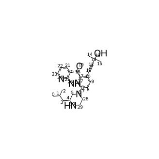 CC(C)C[C@H]1CN(c2ccc(C#CC(C)(C)O)c(C(=O)c3cccnc3N)n2)CCN1